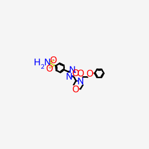 NS(=O)(=O)c1ccc(-c2noc(C3COCCN3C(=O)COc3ccccc3)n2)cc1